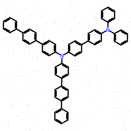 c1ccc(-c2ccc(-c3ccc(N(c4ccc(-c5ccc(-c6ccccc6)cc5)cc4)c4ccc(-c5ccc(N(c6ccccc6)c6ccccc6)cc5)cc4)cc3)cc2)cc1